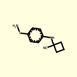 N#CC1(Nc2ccc(SN)cc2)CCC1